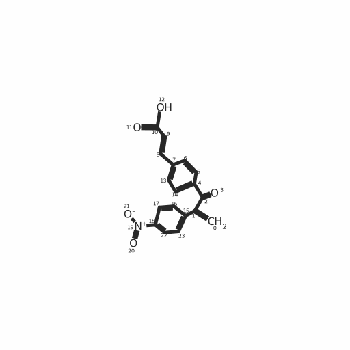 C=C(C(=O)c1ccc(C=CC(=O)O)cc1)c1ccc([N+](=O)[O-])cc1